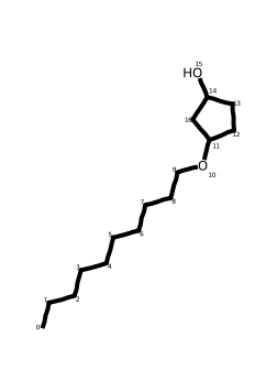 CCCCCCCCCCOC1CCC(O)C1